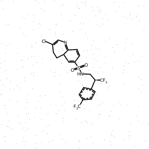 O=S(=O)(NC[C@H](c1ccc(C(F)(F)F)cc1)C(F)(F)F)C1=CC2CCC(Cl)=CN=C2C=C1